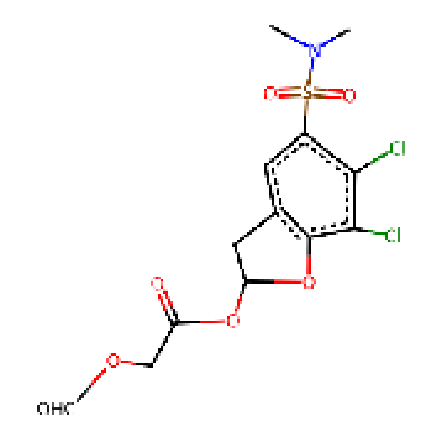 CN(C)S(=O)(=O)c1cc2c(c(Cl)c1Cl)OC(OC(=O)COC=O)C2